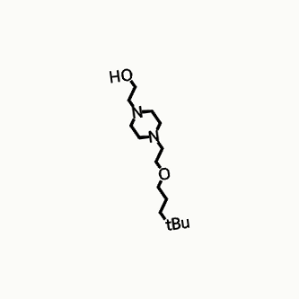 CC(C)(C)CCCOCCN1CCN(CCO)CC1